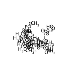 CC[C@H](C)[C@@H]([C@@H](CC(=O)N1C[C@H](OC)C[C@H]1[C@H](OC)[C@@H](C)C(=O)NCC(=O)c1ccc(OC)cc1F)OC)N(C)C(=O)[C@@H](NC(=O)[C@H](C(C)C)N(C)C(=O)OCc1ccc(NC(=O)[C@H](CCCNC(N)=O)NC(=O)[C@@H](NC(=O)CCCCCC2C(=O)CC(SCC3(CC(=O)O)CC3)C2=O)C(C)C)cc1)C(C)C